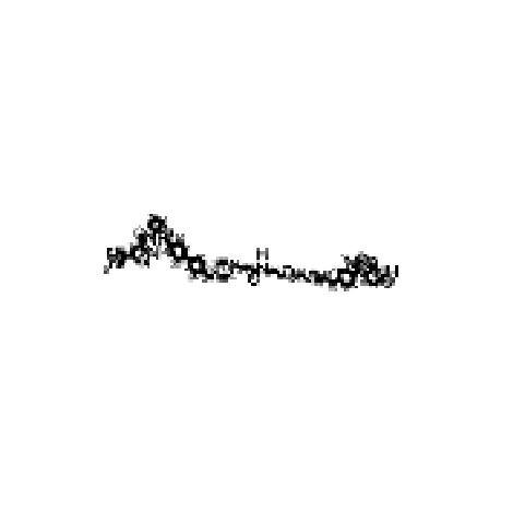 Cn1cc(-c2cnc(N)c(C(=O)N[C@H]3CCC[C@@H]3OCc3ccc(-c4ccc(CN5CCN(CCCC(=O)NCCCOCCCOCCCc6ccc7c(c6)n(C)c(=O)n7C6CCC(=O)NC6=O)CC5)cc4)cc3)c2)cn1